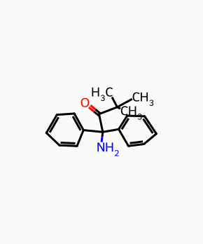 CC(C)(C)C(=O)C(N)(c1ccccc1)c1ccccc1